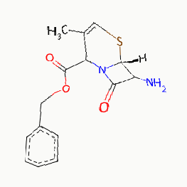 CC1=CS[C@@H]2C(N)C(=O)N2C1C(=O)OCc1ccccc1